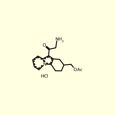 CC(=O)OCC1CCc2c(c(C(=O)CN)c3ccccn23)C1.Cl